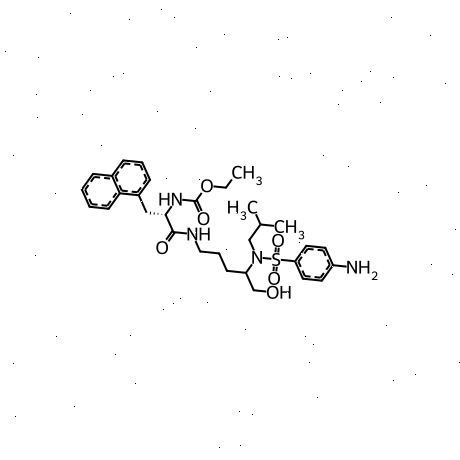 CCOC(=O)N[C@@H](Cc1cccc2ccccc12)C(=O)NCCCC(CO)N(CC(C)C)S(=O)(=O)c1ccc(N)cc1